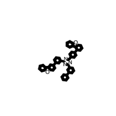 c1ccc(-c2cccc(-c3nc(-c4ccc(-c5cccc6oc7ccccc7c56)cc4)nc(-c4cccc(-c5ccc6oc7ccccc7c6c5)c4)n3)c2)cc1